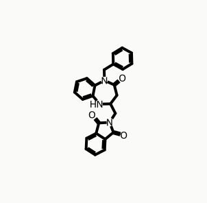 O=C1c2ccccc2C(=O)N1CC1CC(=O)N(Cc2ccccc2)c2ccccc2N1